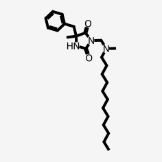 CCCCCCCCCCCCN(C)CN1C(=O)NC(C)(Cc2ccccc2)C1=O